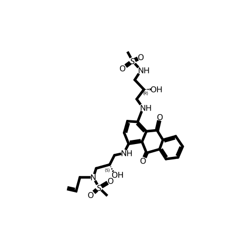 C=CCN(C[C@@H](O)CNc1ccc(NC[C@@H](O)CNS(C)(=O)=O)c2c1C(=O)c1ccccc1C2=O)S(C)(=O)=O